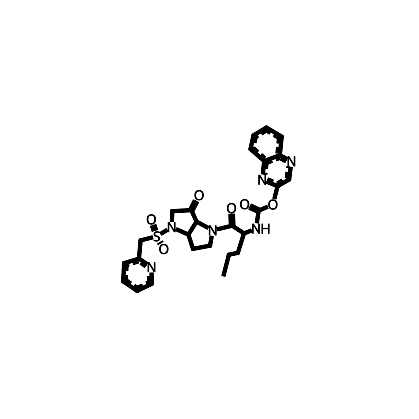 CCCC(NC(=O)Oc1cnc2ccccc2n1)C(=O)N1CCC2C1C(=O)CN2S(=O)(=O)Cc1ccccn1